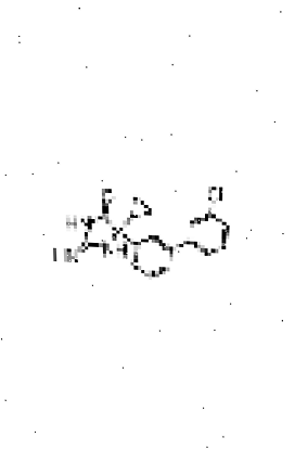 N=C1NC(=O)C(c2cccc(-c3cccc(Cl)c3)c2)(C2CC2)N1